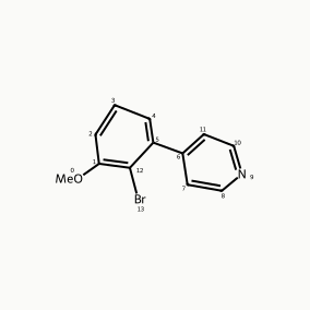 COc1cccc(-c2ccncc2)c1Br